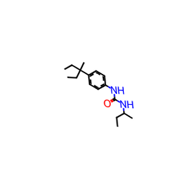 CCC(C)NC(=O)Nc1ccc(C(C)(CC)CC)cc1